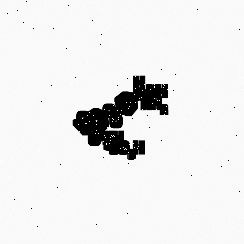 N=C(N)Nc1ccc(C(=O)Oc2cc3c(c(C(=O)NCS(=O)(=O)O)c2)CCO3)cc1